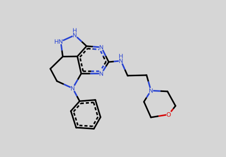 c1ccc(N2CCC3NNc4nc(NCCN5CCOCC5)nc2c43)cc1